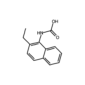 CCc1ccc2ccccc2c1NC(=O)O